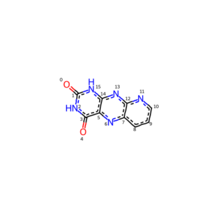 O=c1[nH]c(=O)c2nc3cccnc3nc2[nH]1